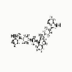 COc1ccccc1N(C1CN([C@H]2CC[C@@H](c3c[nH]c4ccccc43)CC2)C1)C1CN([C@H]2CC[C@@H](c3c[nH]c4ccccc43)CC2)C1